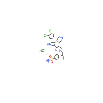 CCC(CN1CC=C(c2c[nH]c(-c3ccc(F)c(Cl)c3)c2-c2ccncc2)CC1)c1ccc(S(=O)(=O)NC)cc1.Cl